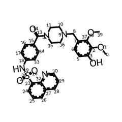 COc1c(O)ccc(CN2CCN(C(=O)c3ccc(NS(=O)(=O)c4cccc5cccnc45)cc3)CC2)c1OC